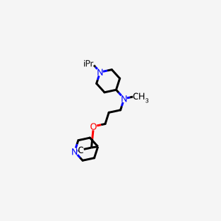 CC(C)N1CCC(N(C)CCCOC2CN3CCC2CC3)CC1